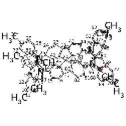 CC1=CCC(C)(N(c2ccc(C)cc2)c2ccc3c(c2)C2(C4=C(C=CC(N(c5ccc(C)cc5)c5ccc(C)cc5)C4)c4ccc(N(c5ccc(C)cc5)c5ccc(C)cc5)cc42)c2cc(N(c4ccc(C)cc4)c4ccc(C)cc4)ccc2-3)C=C1